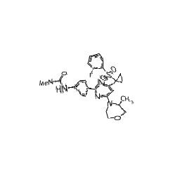 CNC(=O)Nc1ccc(-c2nc(N3CCOC[C@@H]3C)cc(C3(S(=O)(=O)c4ccccc4F)CC3)n2)cc1